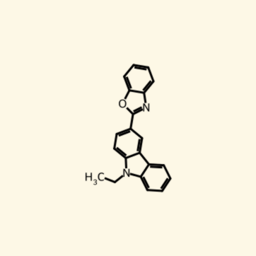 CCn1c2ccccc2c2cc(-c3nc4ccccc4o3)ccc21